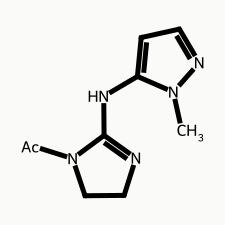 CC(=O)N1CCN=C1Nc1ccnn1C